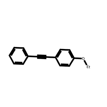 CCOc1ccc(C#Cc2ccccc2)cc1